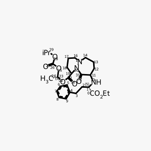 CCOC(=O)[C@H](CCc1ccccc1)NC1CCCN2CCCC(C(=O)O[C@H](C)OC(=O)OC(C)C)N2C1=O